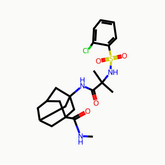 CNC(=O)C12CC3CC(CC(NC(=O)C(C)(C)NS(=O)(=O)c4ccccc4Cl)(C3)C1)C2